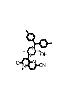 Cc1ccc(C(c2ccc(C)cc2)N2C[C@@H](C)N(c3cc(=O)n(C)c4ccc(C#N)nc34)C[C@@H]2CO)cc1